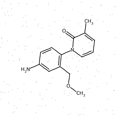 COCc1cc(N)ccc1-n1cccc(C)c1=O